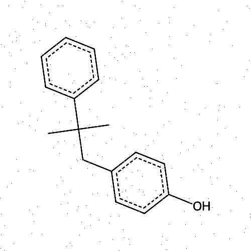 CC(C)(Cc1ccc(O)cc1)c1ccccc1